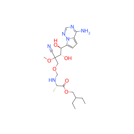 CCC(CC)COC(=O)[C@H](C)NCOCC(C#N)(OC)[C@@H](O)[C@@H](O)c1ccc2c(N)ncnn12